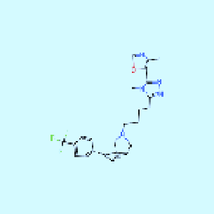 Cc1ncoc1-c1nnc(CCCCN2CC[C@]3(CC3c3ccc(C(F)(F)F)cc3)C2)n1C